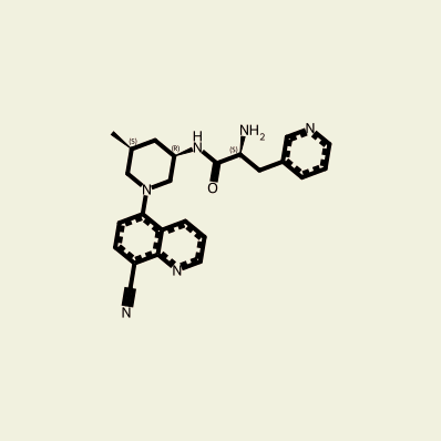 C[C@H]1C[C@@H](NC(=O)[C@@H](N)Cc2cccnc2)CN(c2ccc(C#N)c3ncccc23)C1